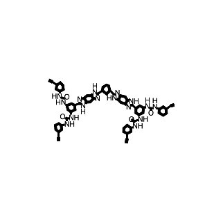 C#Cc1cccc(NC(=O)Nc2cc(NC(=O)Nc3cccc(C#C)c3)cc(-c3nc4cc5[nH]c(-c6cccc(-c7nc8cc9[nH]c(-c%10cc(NC(=O)Nc%11cccc(C#C)c%11)cc(NC(=O)Nc%11cccc(C#C)c%11)c%10)nc9cc8[nH]7)c6)nc5cc4[nH]3)c2)c1